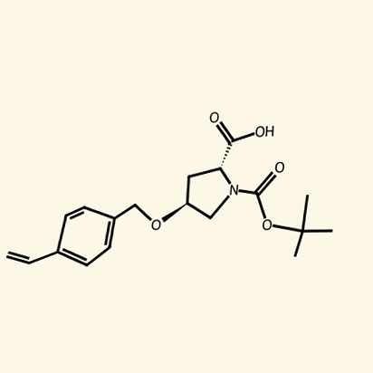 C=Cc1ccc(CO[C@H]2C[C@H](C(=O)O)N(C(=O)OC(C)(C)C)C2)cc1